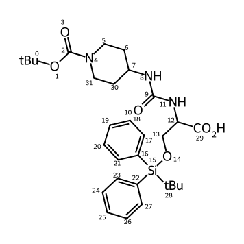 CC(C)(C)OC(=O)N1CCC(NC(=O)NC(CO[Si](c2ccccc2)(c2ccccc2)C(C)(C)C)C(=O)O)CC1